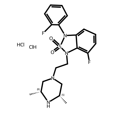 C[C@@H]1CN(CCN2c3c(F)cccc3N(c3ccccc3F)S2(=O)=O)C[C@H](C)N1.Cl.Cl